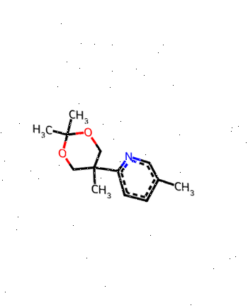 Cc1ccc(C2(C)COC(C)(C)OC2)nc1